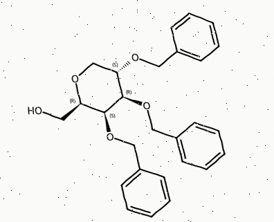 OC[C@H]1OC[C@H](OCc2ccccc2)[C@@H](OCc2ccccc2)[C@H]1OCc1ccccc1